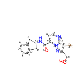 O=C(NC1Cc2ccccc2C1)c1ccnc2c(Br)c(CO)nn12